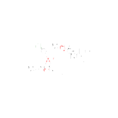 CNC(=O)c1cc(OCc2ccc(Cl)cc2)c(OCCCCCC(=O)c2cc([N+](=O)[O-])c(C=O)cc2OC)cc1[N+](=O)[O-]